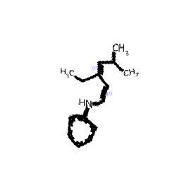 CCC(/C=C\Nc1ccccc1)=C/C(C)C